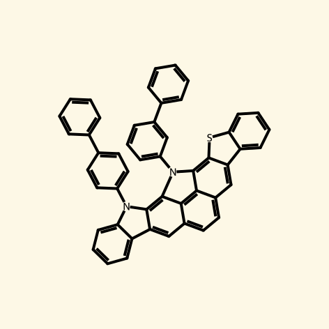 c1ccc(-c2ccc(-n3c4ccccc4c4cc5ccc6cc7c8ccccc8sc7c7c6c5c(c43)n7-c3cccc(-c4ccccc4)c3)cc2)cc1